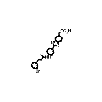 O=C(O)Cc1ccc2oc(-c3ccc(NC(=O)C=Cc4cccc(Br)c4)cc3)nc2c1